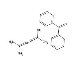 CC(=O)O.N=C(N)N.O=C(c1ccccc1)c1ccccc1